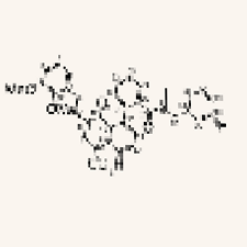 COc1cccc(CCN(CCC(=O)O)C(=O)c2ccccc2-c2ccccc2C(=O)NCc2cccc(F)c2)c1OC